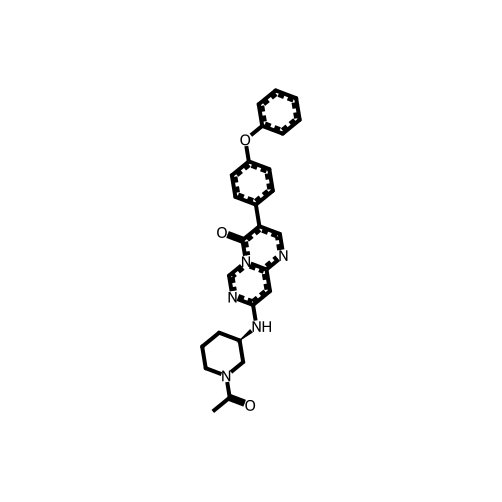 CC(=O)N1CCC[C@@H](Nc2cc3ncc(-c4ccc(Oc5ccccc5)cc4)c(=O)n3cn2)C1